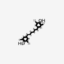 Cc1cc(CCCCCCc2cc(C)c(O)c(C)c2)cc(C)c1O